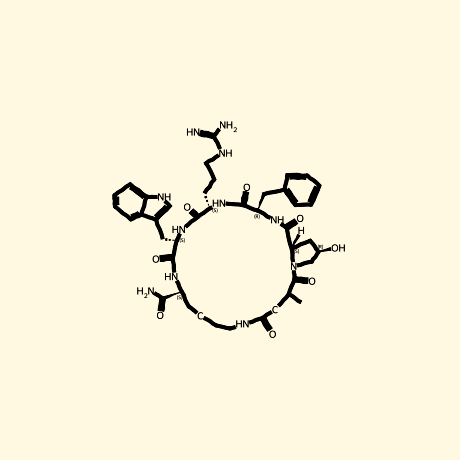 CC1CC(=O)NCCCC[C@@H](C(N)=O)NC(=O)[C@H](Cc2c[nH]c3ccccc23)NC(=O)[C@H](CCCNC(=N)N)NC(=O)[C@@H](Cc2ccccc2)NC(=O)[C@@H]2C[C@@H](O)CN2C1=O